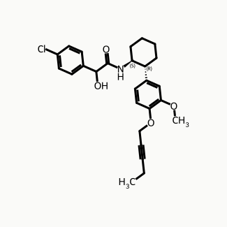 CCC#CCOc1ccc([C@H]2CCCC[C@@H]2NC(=O)C(O)c2ccc(Cl)cc2)cc1OC